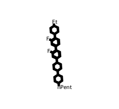 CCCCCC1CCC(C2CCC(c3ccc(-c4ccc(C5CCC(CC)CC5)c(F)c4)c(F)c3)CC2)CC1